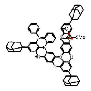 CSN1c2cc3c(cc2B2c4ccccc4Oc4cc(C56CC7CC(CC(C7)C5)C6)cc1c42)B1c2cc4c(cc2Oc2cc(C56CC7CC(CC(C7)C5)C6)cc(c21)O3)Nc1cc(C23CC5CC(CC(C5)C2)C3)cc2c1B4c1ccccc1N2c1ccccc1